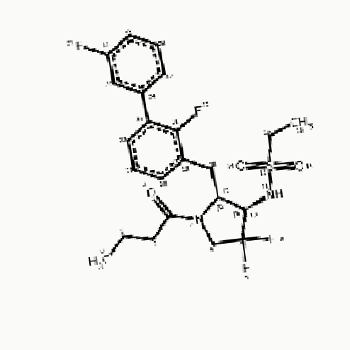 CCCC(=O)N1CC(F)(F)[C@H](NS(=O)(=O)CC)[C@@H]1Cc1cccc(-c2cccc(F)c2)c1F